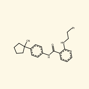 CC(C)CCNc1ncccc1C(=O)Nc1ccc(C2(C#N)CCCC2)cc1